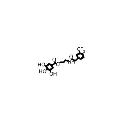 O=C(Cc1cccc(C(F)(F)F)c1)NCCCOC(=O)c1cc(O)c(O)c(O)c1